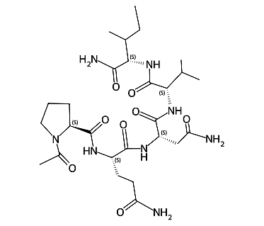 CCC(C)[C@H](NC(=O)[C@@H](NC(=O)[C@H](CC(N)=O)NC(=O)[C@H](CCC(N)=O)NC(=O)[C@@H]1CCCN1C(C)=O)C(C)C)C(N)=O